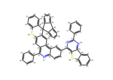 c1ccc(-c2nc(-c3ccc4nc(-c5ccccc5)c5cc6c(cc5c4c3)C3(c4ccccc4S6)c4ccccc4-c4ccccc43)c3sc4ccccc4c3n2)cc1